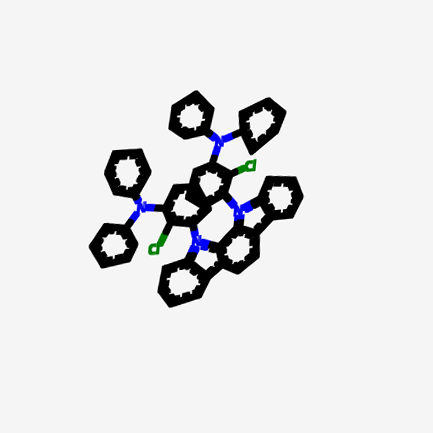 Clc1c(N(c2ccccc2)c2ccccc2)cccc1-n1c2ccccc2c2ccc3c4ccccc4n(-c4cccc(N(c5ccccc5)c5ccccc5)c4Cl)c3c21